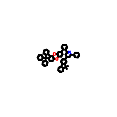 CC1(C)c2ccccc2-c2ccc(-c3cc(-c4ccccc4)nc(-c4ccccc4-c4ccc5c(c4)Oc4c(ccc6c4-c4ccccc4C6(c4ccccc4)c4ccccc4)O5)c3)cc21